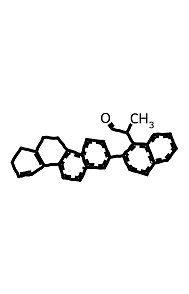 CC(C=O)c1c(-c2ccc3c4c(ccc3c2)C2=C(CCC=C2)CC4)ccc2ccccc12